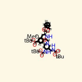 COc1c(CC(NC(=O)CN2CCC(NC(=O)OC(C)(C)C)C(CNC(=O)OC(C)(C)C)C2)B2OC3CC4CC(C4(C)C)C3(C)O2)cccc1C(=O)OC(C)(C)C